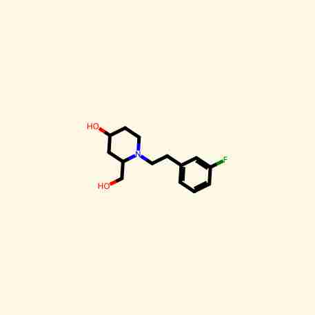 OCC1CC(O)CCN1CCc1cccc(F)c1